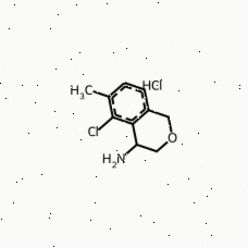 Cc1ccc2c(c1Cl)C(N)COC2.Cl